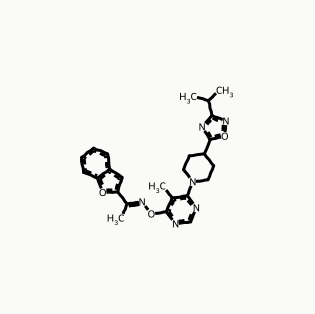 CC(=NOc1ncnc(N2CCC(c3nc(C(C)C)no3)CC2)c1C)c1cc2ccccc2o1